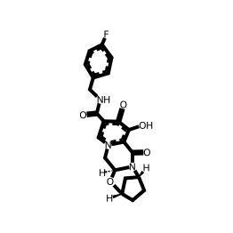 O=C(NCc1ccc(F)cc1)c1cn2c(c(O)c1=O)C(=O)N1[C@@H]3CC[C@@H](C3)O[C@H]1C2